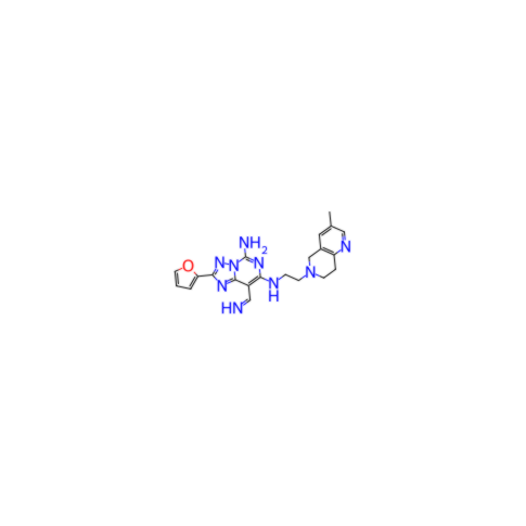 Cc1cnc2c(c1)CN(CCNc1nc(N)n3nc(-c4ccco4)nc3c1C=N)CC2